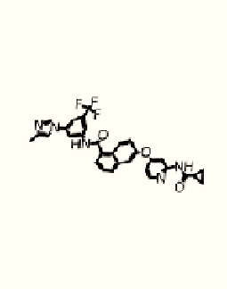 Cc1cn(-c2cc(NC(=O)c3cccc4cc(Oc5ccnc(NC(=O)C6CC6)c5)ccc34)cc(C(F)(F)F)c2)cn1